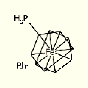 P[C]12[CH]3[CH]4[CH]5[CH]1[Fe]45321678[CH]2[CH]1[CH]6[CH]7[CH]28.[Rh]